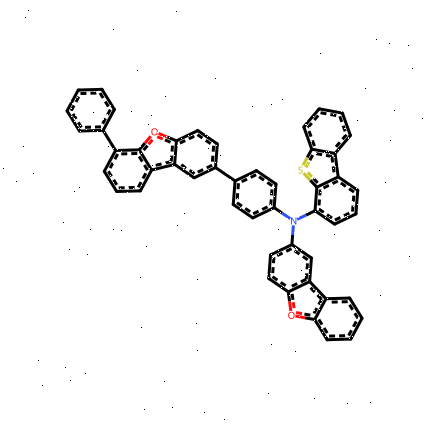 c1ccc(-c2cccc3c2oc2ccc(-c4ccc(N(c5ccc6oc7ccccc7c6c5)c5cccc6c5sc5ccccc56)cc4)cc23)cc1